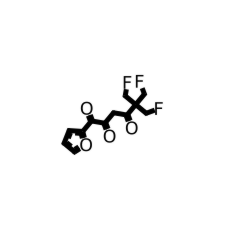 O=C(CC(=O)C(CF)(CF)CF)C(=O)c1ccco1